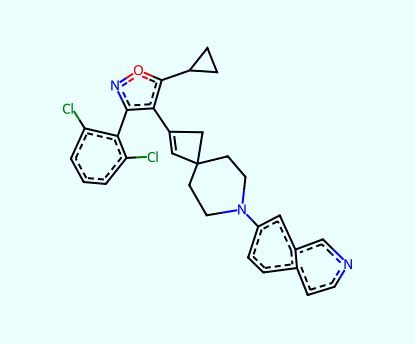 Clc1cccc(Cl)c1-c1noc(C2CC2)c1C1=CC2(CCN(c3ccc4ccncc4c3)CC2)C1